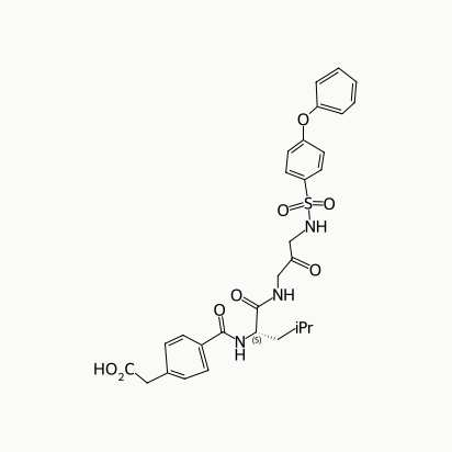 CC(C)C[C@H](NC(=O)c1ccc(CC(=O)O)cc1)C(=O)NCC(=O)CNS(=O)(=O)c1ccc(Oc2ccccc2)cc1